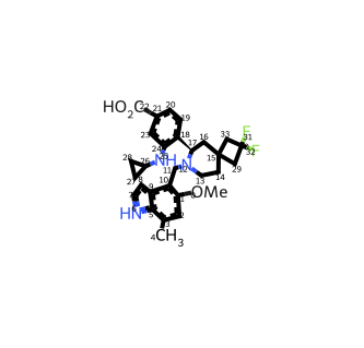 COc1cc(C)c2[nH]ccc2c1CN1CCC2(C[C@@H]1c1ccc(C(=O)O)cc1NC1CC1)CC(F)(F)C2